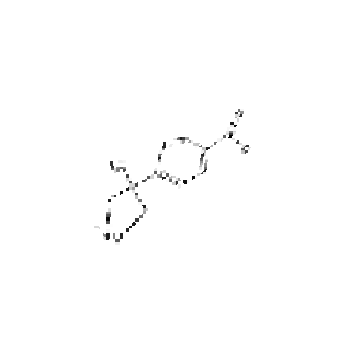 CCC(C)(CC)c1ccc([N+](=O)[O-])cc1